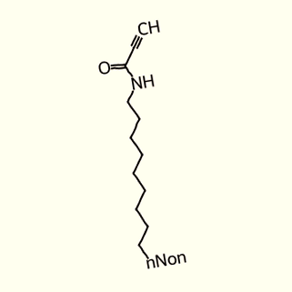 C#CC(=O)NCCCCCCCCCCCCCCCCCC